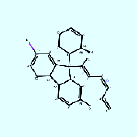 C=C/C=C\C=C(/C)C1(C2CCC=C[C@H]2C)C2=CC(I)=CCC2C2C=CC(C)=CC21